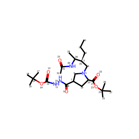 CCC[C@@H](CN1CC(C(=O)NNC(=O)OC(C)(C)C)CC1C(=O)OC(C)(C)C)C(C)NC(C)=O